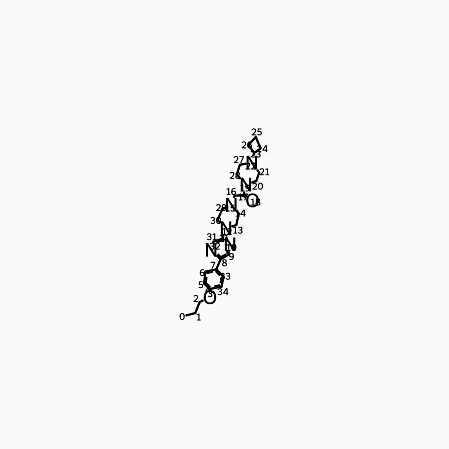 CCCOc1ccc(-c2cnc(N3CCN(CC(=O)N4CCN(C5CCC5)CC4)CC3)cn2)cc1